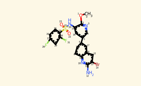 COc1ncc(-c2ccc3nc(N)c(Br)cc3c2)cc1NS(=O)(=O)c1ccc(F)cc1F